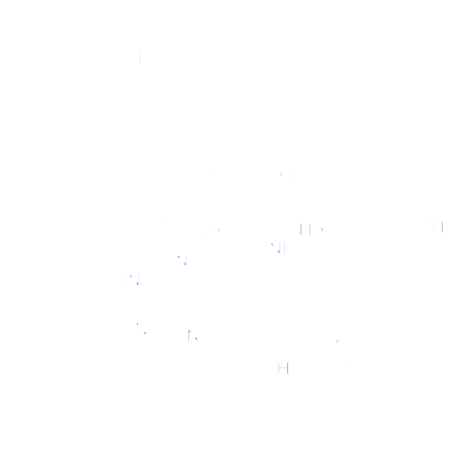 COC(=O)Cc1cc(Cl)ccc1S(=O)(=O)N[C@@H](c1nn[nH]n1)[C@@H](C)c1c(F)ccc(C)c1C